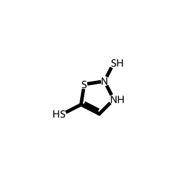 SC1=CNN(S)S1